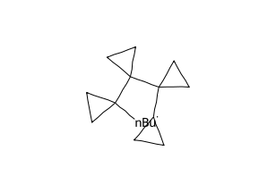 [CH2]CCCC1(C2(C3([C]4CC4)CC3)CC2)CC1